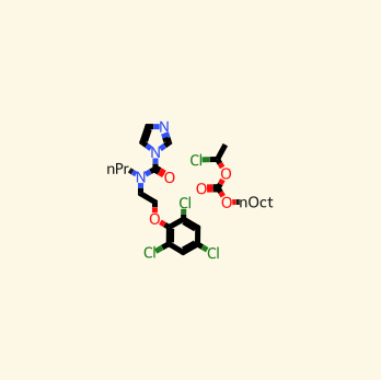 CCCCCCCCOC(=O)OC(C)Cl.CCCN(CCOc1c(Cl)cc(Cl)cc1Cl)C(=O)n1ccnc1